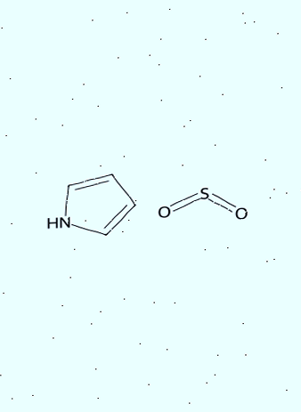 O=S=O.c1cc[nH]c1